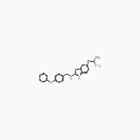 CC(C)Nc1ccc2[nH]c(NCc3ccc(Oc4ccccc4)cc3)nc2c1